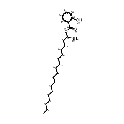 CCCCCCCCCCCCCCCCCC(N)OC(=O)c1ccccc1O